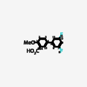 COc1ccc(-c2cc(F)cc(F)c2)cc1C(=O)O